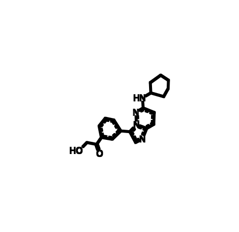 O=C(CO)c1cccc(-c2cnc3ccc(NC4CCCCC4)nn23)c1